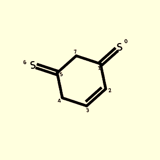 S=C1C=CCC(=S)C1